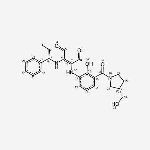 CC[C@@H](N/C(C=O)=C(/C=O)Nc1cccc(C(=O)N2CC[C@H](CO)C2)c1O)c1ccccc1